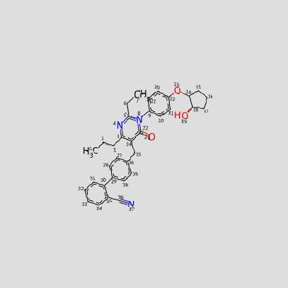 CCCc1nc(CC)n(-c2ccc(OC3CCC[C@H]3O)cc2)c(=O)c1Cc1ccc(-c2ccccc2C#N)cc1